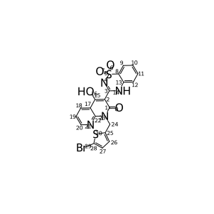 O=c1c(C2=NS(=O)(=O)c3ccccc3N2)c(O)c2cccnc2n1Cc1ccc(Br)s1